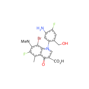 CNc1c(F)c(C)c2c(=O)c(C(=O)O)cn(-c3cc(N)c(F)cc3CO)c2c1Br